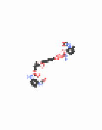 Cc1ccc(NC(=O)OCCC(C)(C)OC(=O)CCCCCOOOC(=O)Nc2ccc(C)c(N=C=O)c2)cc1N=C=O